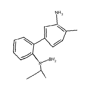 BN(c1ccccc1-c1ccc(C)c(N)c1)C(C)C